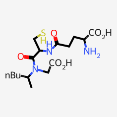 CCCCC(C)N(CC(=O)O)C(=O)C(CS)NC(=O)CCC(N)C(=O)O